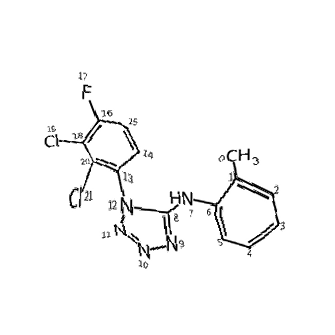 Cc1ccccc1Nc1nnnn1-c1ccc(F)c(Cl)c1Cl